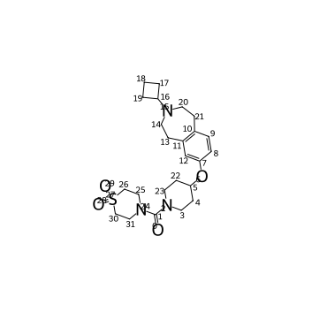 O=C(N1CCC(Oc2ccc3c(c2)CCN(C2CCC2)CC3)CC1)N1CCS(=O)(=O)CC1